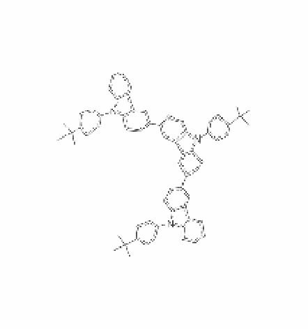 CC(C)(C)c1ccc(-n2c3ccccc3c3cc(-c4ccc5c(c4)c4cc(-c6ccc7c(c6)c6ccccc6n7-c6ccc(C(C)(C)C)cc6)ccc4n5-c4ccc(C(C)(C)C)cc4)ccc32)cc1